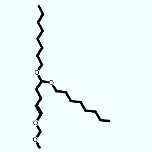 CCCCCCCCOC(CCC=COCOC)OCCCCCCCC